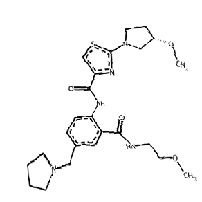 COCCNC(=O)c1cc(CN2CCCC2)ccc1NC(=O)c1csc(N2CC[C@H](OC)C2)n1